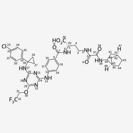 O=C(NCC[C@H](NC(=O)c1ccc(Nc2nc(NC3(c4ccc(Cl)cc4)CC3)nc(OCC(F)(F)F)n2)cc1)C(=O)O)C(=O)NC1C[C@H]2CC[C@@H]1C2